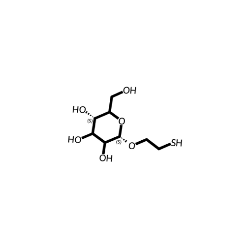 OCC1O[C@H](OCCS)C(O)C(O)[C@@H]1O